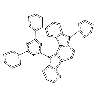 c1ccc(-c2nc(-c3ccccc3)nc(-n3c4cccnc4c4ccc5c(c6ccccc6n5-c5ccccc5)c43)n2)cc1